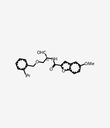 COc1ccc2oc(C(=O)N[C@H](C=O)COCc3ccccc3C(C)C)cc2c1